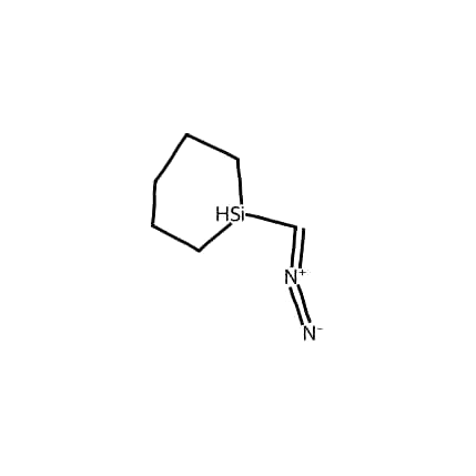 [N-]=[N+]=C[SiH]1CCCCC1